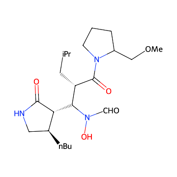 CCCC[C@H]1CNC(=O)[C@@H]1C([C@H](CC(C)C)C(=O)N1CCCC1COC)N(O)C=O